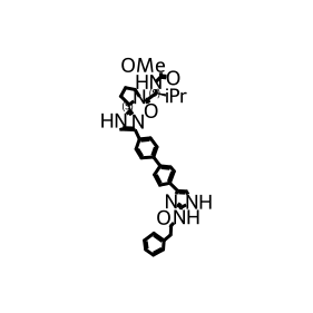 COC(=O)N[C@H](C(=O)N1CCC[C@H]1c1nc(-c2ccc(-c3ccc(-c4c[nH]c(NC(=O)Cc5ccccc5)n4)cc3)cc2)c[nH]1)C(C)C